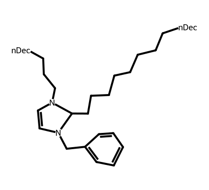 CCCCCCCCCCCCCCCCCCC1N(CCCCCCCCCCCCC)C=CN1Cc1ccccc1